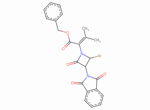 CC(C)=C(C(=O)OCc1ccccc1)N1C(=O)C(N2C(=O)c3ccccc3C2=O)C1Br